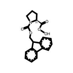 O=C(OO)[C@@H]1CCCN1C(=O)OCC1c2ccccc2-c2ccccc21